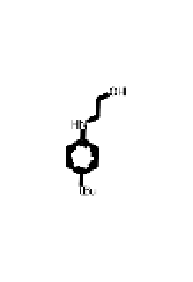 CC(C)(C)c1ccc(NCCO)cc1